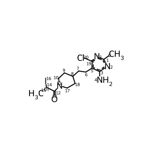 Cc1nc(N)c(CCC2CCN(C(=O)[C@H](C)I)CC2)c(Cl)n1